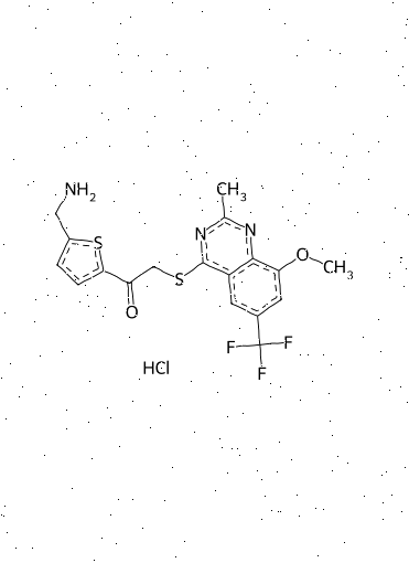 COc1cc(C(F)(F)F)cc2c(SCC(=O)c3ccc(CN)s3)nc(C)nc12.Cl